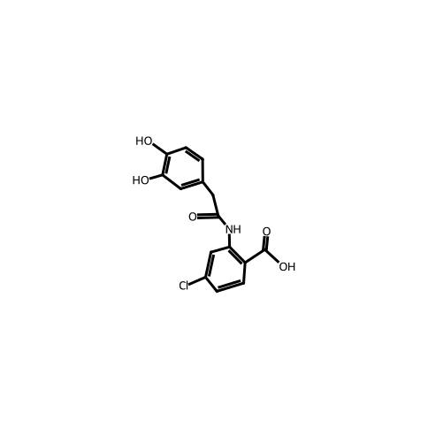 O=C(Cc1ccc(O)c(O)c1)Nc1cc(Cl)ccc1C(=O)O